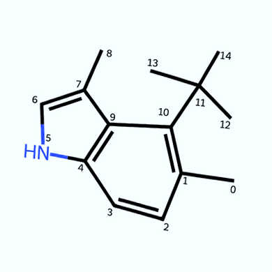 Cc1ccc2[nH]cc(C)c2c1C(C)(C)C